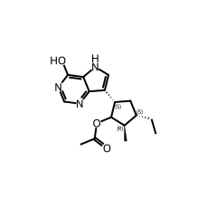 CC[C@H]1C[C@@H](c2c[nH]c3c(O)ncnc23)C(OC(C)=O)[C@@H]1C